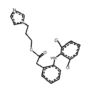 O=C(Cc1ccccc1Nc1c(Cl)cccc1Cl)OCCCn1ccnc1